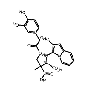 CC(COC(=O)Cc1ccc(O)c(O)c1)([C@@H](Nc1c(C=O)cc2ccccn12)C(=O)O)S(=O)O